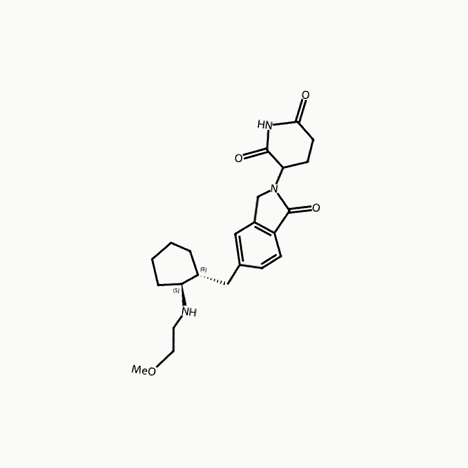 COCCN[C@H]1CCCC[C@@H]1Cc1ccc2c(c1)CN(C1CCC(=O)NC1=O)C2=O